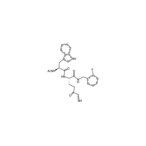 CC(=O)N[C@@H](Cc1c[nH]c2ccccc12)C(=O)N[C@@H](CCC(=O)C=N)C(=O)NCc1ccccc1F